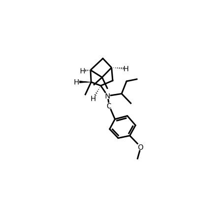 CCC(C)N(Cc1ccc(OC)cc1)[C@@H]1C[C@@H]2C[C@H]([C@H]1C)C2(C)C